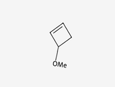 COC1C=CC1